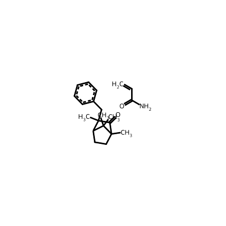 C=CC(N)=O.CC1(Cc2ccccc2)C(=O)C2(C)CCC1C2(C)C